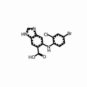 O=C(O)c1cc2[nH]cnc2cc1Nc1ccc(Br)cc1Cl